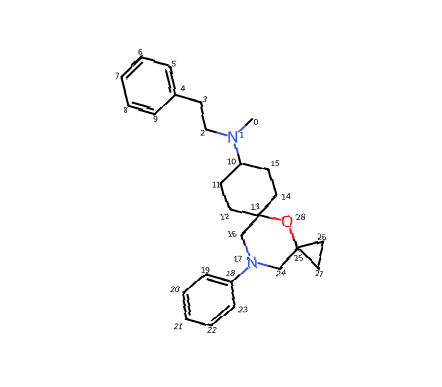 CN(CCc1ccccc1)C1CCC2(CC1)CN(c1ccccc1)CC1(CC1)O2